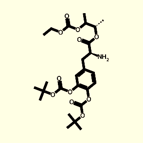 CCOC(=O)OC(C)[C@H](C)OC(=O)[C@@H](N)Cc1ccc(OC(=O)OC(C)(C)C)c(OC(=O)OC(C)(C)C)c1